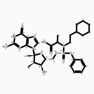 CC(C(=O)O)N(CCC1CCCCC1)[P@@](=O)(OC[C@H]1O[C@@](F)(n2cnc3c(=O)[nH]c(N)nc32)[C@H](C)[C@@H]1O)Oc1ccccc1